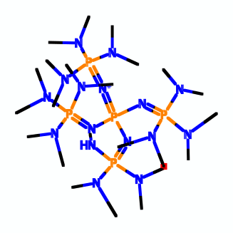 CNP(=NP(N=P(N(C)C)(N(C)C)N(C)C)(N=P(N(C)C)(N(C)C)N(C)C)=[N+]=P(N(C)C)(N(C)C)N(C)C)(N(C)C)N(C)C